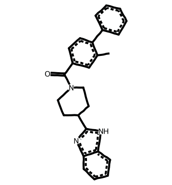 Cc1cc(C(=O)N2CCC(c3nc4ccccc4[nH]3)CC2)ccc1-c1ccccc1